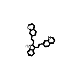 C(=C\c1[nH]c2ccccc2c1/C=C/c1ccc2cccnc2c1)/c1ccc2cccnc2c1